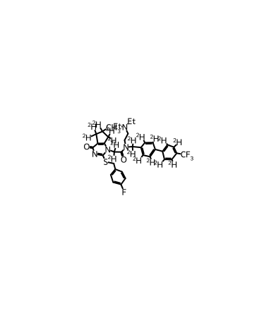 [2H]c1c([2H])c(C(F)(F)F)c([2H])c([2H])c1-c1c([2H])c([2H])c(C([2H])([2H])N(CCN(CC)CC)C(=O)C([2H])([2H])n2c(SCc3ccc(F)cc3)nc(=O)c3c2C([2H])([2H])C([2H])(C)C3([2H])[2H])c([2H])c1[2H]